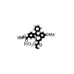 C/C=C(/C(=O)OCC)C(=O)C1=Cc2cc(OC)ccc2-c2c(C3CCCCC3)c3ccc(C(=O)OC(C)(C)C)cc3n2C1